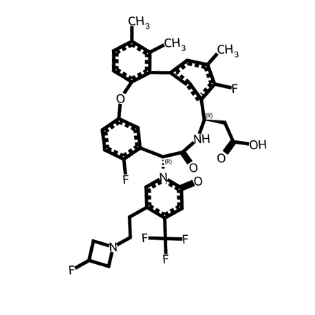 Cc1ccc2c(c1C)-c1cc(C)c(F)c(c1)[C@@H](CC(=O)O)NC(=O)[C@H](n1cc(CCN3CC(F)C3)c(C(F)(F)F)cc1=O)c1cc(ccc1F)O2